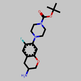 CC(C)(C)OC(=O)N1CCN(c2cc3c(cc2F)CC(N)CO3)CC1